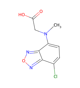 CN(CC(=O)O)c1ccc(Cl)c2nonc12